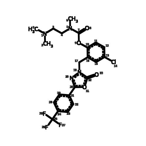 CN(C)CCN(C)C(=O)Oc1ccc(Cl)cc1Cn1nc(-c2ccc(C(F)(F)F)cc2)oc1=O